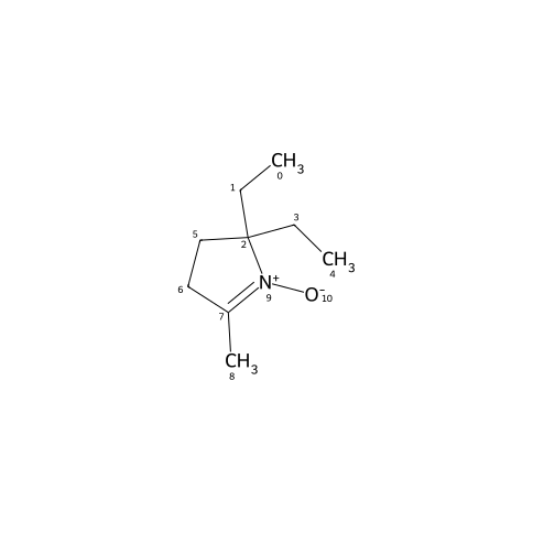 CCC1(CC)CCC(C)=[N+]1[O-]